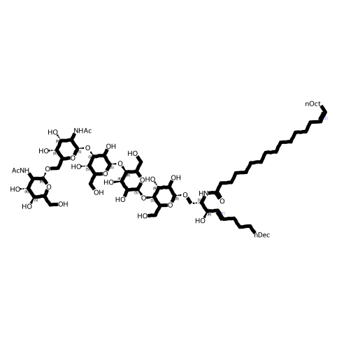 CCCCCCCC/C=C\CCCCCCCCCCCCCC(=O)N[C@@H](CO[C@@H]1OC(CO)[C@@H](O[C@@H]2OC(CO)[C@H](O[C@@H]3OC(CO)[C@H](O)[C@H](O[C@@H]4OC(CO[C@@H]5OC(CO)[C@@H](O)[C@H](O)C5NC(C)=O)[C@H](O)[C@H](O)C4NC(C)=O)C3O)[C@H](O)C2O)[C@H](O)C1O)[C@H](O)/C=C/CCCCCCCCCCCCC